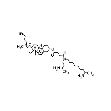 CC(C)CCC[C@@H](C)[C@H]1CC[C@H]2[C@@H]3CC=C4C[C@@H](OC(=O)CCC(=O)N(CCCCCCCC(C)N)CCC(C)N)CC[C@]4(C)[C@H]3CC[C@]12C